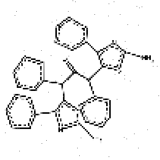 Nc1nc(-c2ccccc2)c(C(C(=O)C(c2ccccc2)c2sc(N)nc2-c2ccccc2)c2ccccc2)s1